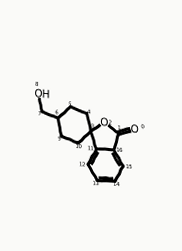 O=C1OC2(CCC(CO)CC2)c2ccccc21